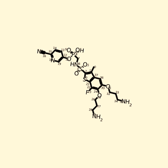 Cc1c(S(=O)(=O)NCP(=O)(O)Oc2ccc(C#N)nc2)sc2c(F)c(OCCCN)c(OCCCN)cc12